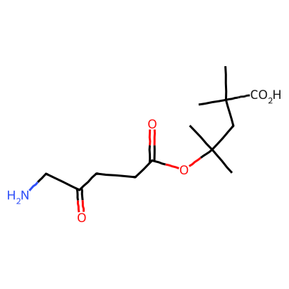 CC(C)(CC(C)(C)C(=O)O)OC(=O)CCC(=O)CN